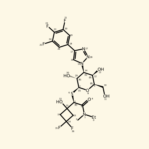 CCN(C)C(=O)[C@H](S[C@@H]1O[C@H](CO)[C@H](O)[C@H](n2cc(-c3cc(F)c(F)c(F)c3)nn2)[C@H]1O)C1(O)CC(F)(F)C1